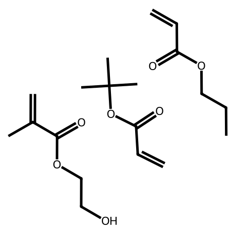 C=C(C)C(=O)OCCO.C=CC(=O)OC(C)(C)C.C=CC(=O)OCCC